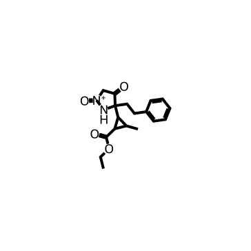 CCOC(=O)C1C(C)C1C1(CCc2ccccc2)N[N+](=O)CC1=O